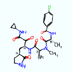 CCC[C@@H](C(=O)N[C@@H](C[C@@H]1CCNC1=O)C(=O)C(=O)NC1CC1)N(C)C(=O)[C@@H](C)NC(=O)c1ccc(Cl)cc1